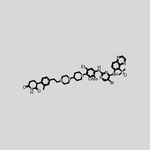 CCc1cc(Nc2ncc(Br)c(Nc3ccc4nccnc4c3P(C)(C)=O)n2)c(OC)cc1N1CCC(N2CCN(CCc3ccc(C4CCC(=O)NC4=O)c(C)c3)CC2)CC1